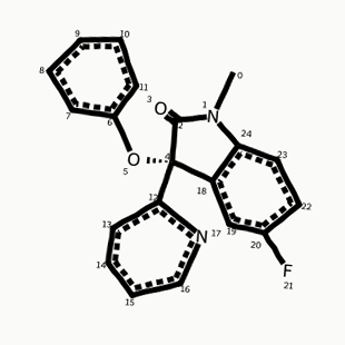 CN1C(=O)[C@](Oc2ccccc2)(c2ccccn2)c2cc(F)ccc21